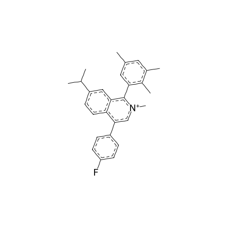 Cc1cc(C)c(C)c(-c2c3cc(C(C)C)ccc3c(-c3ccc(F)cc3)c[n+]2C)c1